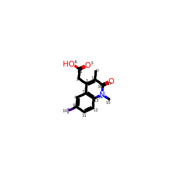 Cc1c(CC(=O)O)c2cc(I)ccc2n(C)c1=O